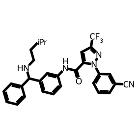 CC(C)CCNC(c1ccccc1)c1cccc(NC(=O)c2cc(C(F)(F)F)nn2-c2cccc(C#N)c2)c1